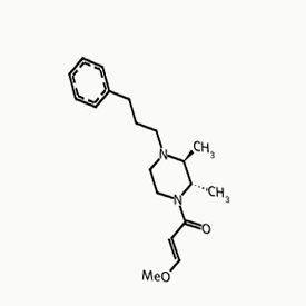 CO/C=C/C(=O)N1CCN(CCCc2ccccc2)[C@@H](C)[C@@H]1C